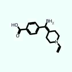 BC(=C1CCN(C=C)CC1)c1ccc(C(=O)O)cc1